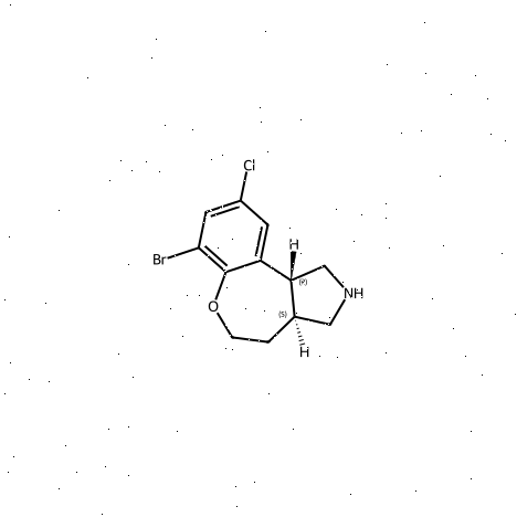 Clc1cc(Br)c2c(c1)[C@@H]1CNC[C@H]1CCO2